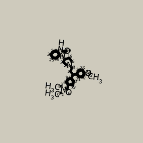 CCN(CC)C(=O)c1ccc(C(CCN2CCC(n3c(=O)[nH]c4ccccc43)CC2)c2ccc(OC)cc2)cc1